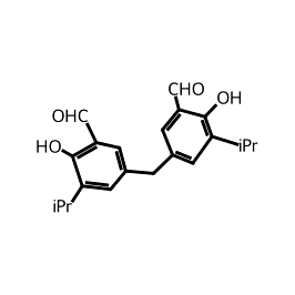 CC(C)c1cc(Cc2cc(C=O)c(O)c(C(C)C)c2)cc(C=O)c1O